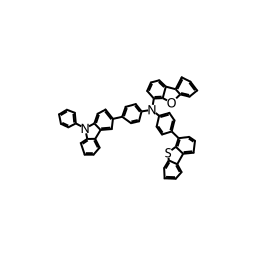 c1ccc(-n2c3ccccc3c3cc(-c4ccc(N(c5ccc(-c6cccc7c6sc6ccccc67)cc5)c5cccc6c5oc5ccccc56)cc4)ccc32)cc1